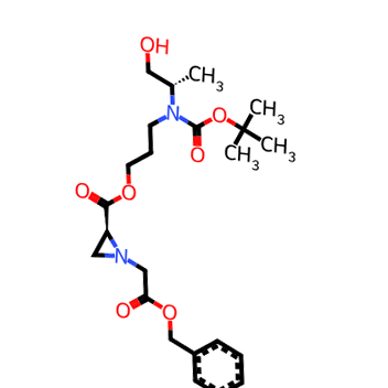 C[C@@H](CO)N(CCCOC(=O)[C@@H]1CN1CC(=O)OCc1ccccc1)C(=O)OC(C)(C)C